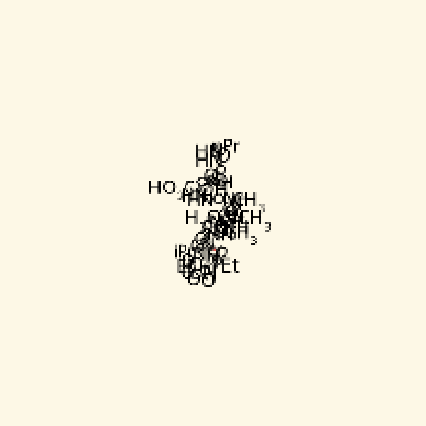 CCCNC(=O)Nc1cccc(S(=O)(=O)Nc2cccc(C(CC(=O)O)NC(O)Nc3ccc(NC(=O)N(C)CC(=O)N(C)CC(=O)N(C)CC(=O)N(C)CC(=O)NC(CC(=O)O)C(=O)N4CCCC4C(=O)NC(C(=O)OC4(CC)C(=O)OCc5c4cc4n(c5=O)Cc5c-4nc4ccccc4c5CC)C(C)C)cc3)c2)c1